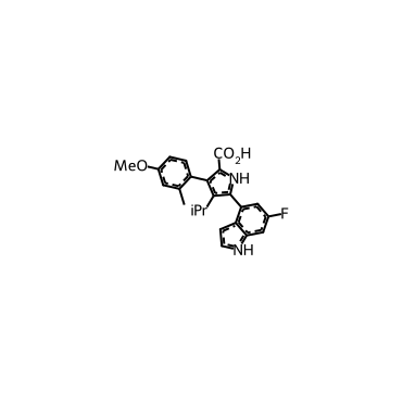 COc1ccc(-c2c(C(=O)O)[nH]c(-c3cc(F)cc4[nH]ccc34)c2C(C)C)c(C)c1